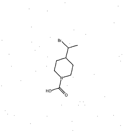 CC(Br)C1CCN(C(=O)O)CC1